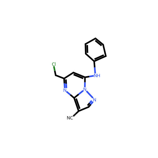 N#Cc1cnn2c(Nc3ccccc3)cc(CCl)nc12